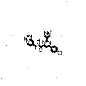 C[C@H](NC(=O)c1cc(-c2ccc(Cl)cc2)nc(-c2cnn(C)c2)n1)c1ccn2ncnc2c1